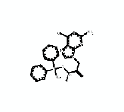 C=C(Cn1cnc2c(Cl)nc(N)nc21)[C@@H](C)O[Si](c1ccccc1)(c1ccccc1)C(C)(C)C